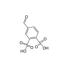 O=Cc1ccc(S(=O)(=O)O)c(S(=O)(=O)O)c1